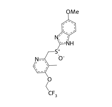 COc1ccc2[nH]c([S@+]([O-])Cc3nccc(OCC(F)(F)F)c3C)nc2c1